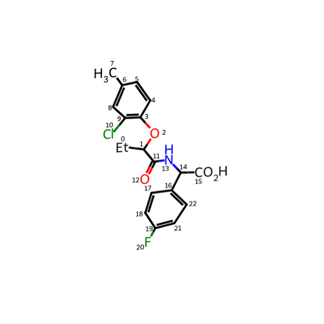 CCC(Oc1ccc(C)cc1Cl)C(=O)NC(C(=O)O)c1ccc(F)cc1